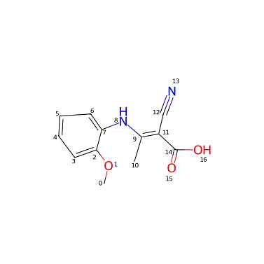 COc1ccccc1NC(C)=C(C#N)C(=O)O